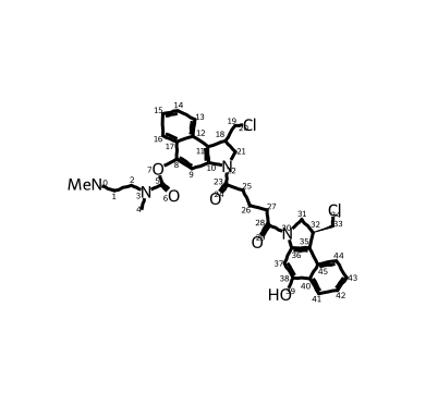 CNCCN(C)C(=O)Oc1cc2c(c3ccccc13)C(CCl)CN2C(=O)CCCC(=O)N1C[C@@H](CCl)c2c1cc(O)c1ccccc21